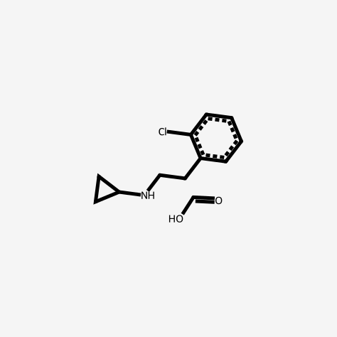 Clc1ccccc1CCNC1CC1.O=CO